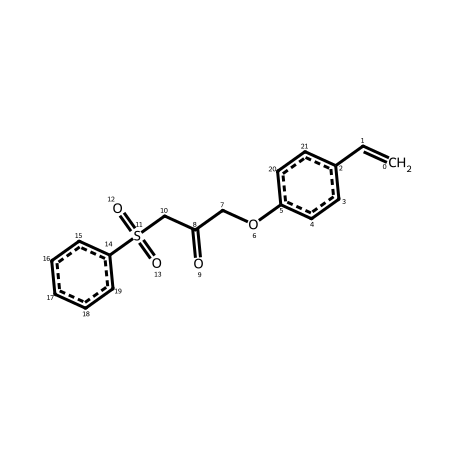 C=Cc1ccc(OCC(=O)CS(=O)(=O)c2ccccc2)cc1